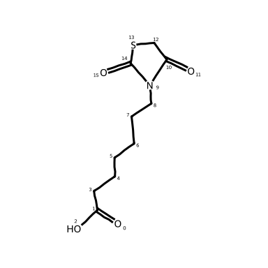 O=C(O)CCCCCCN1C(=O)CSC1=O